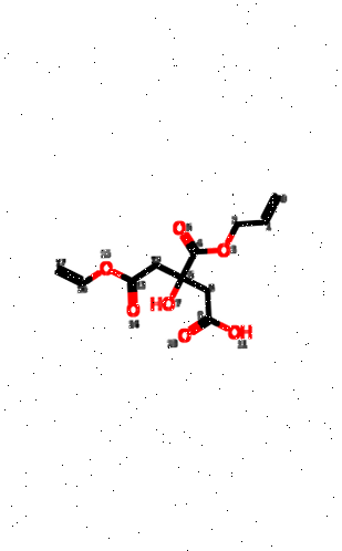 C=CCOC(=O)C(O)(CC(=O)O)CC(=O)OC=C